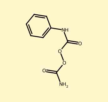 NC(=O)OOC(=O)Nc1ccccc1